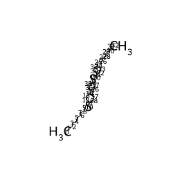 CCCCCCCCCCSc1ccc(-c2ccc(SCc3ccc(CCCCCCCC)cc3)cc2)cc1